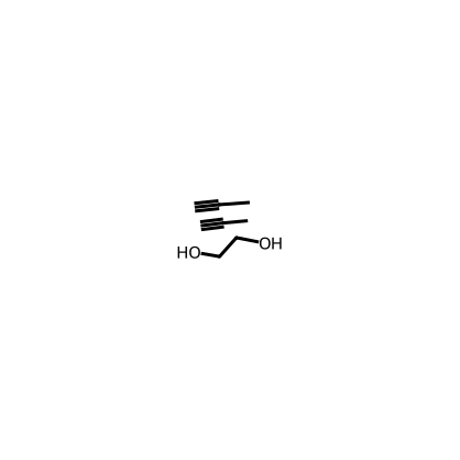 C#CC.C#CC.OCCO